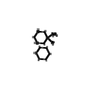 C1CCSCC1.O=[N+]([O-])C1(Br)COCOC1